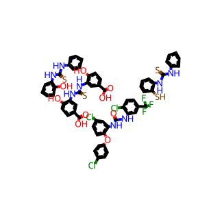 O=C(Nc1cc(C(F)(F)F)ccc1Cl)Nc1cc(Cl)ccc1Oc1ccc(Cl)cc1.O=C(O)c1ccc(O)c(NC(=S)Nc2cc(C(=O)O)ccc2O)c1.Oc1ccccc1NC(=S)Nc1ccccc1.S=C(Nc1ccccc1)Nc1ccccc1S